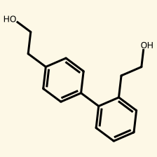 OCCc1ccc(-c2ccccc2CCO)cc1